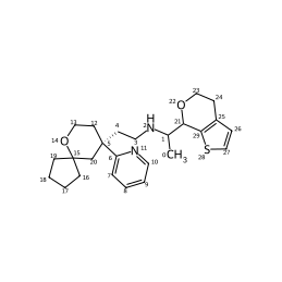 CC(NCC[C@@]1(c2ccccn2)CCOC2(CCCC2)C1)C1OCCc2ccsc21